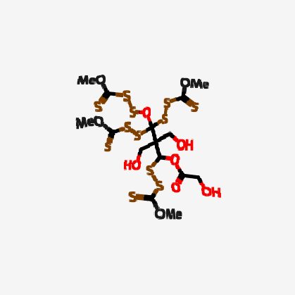 COC(=S)SSOC(SSC(=S)OC)(SSC(=S)OC)C(CO)(CO)C(OC(=O)CO)SSC(=S)OC